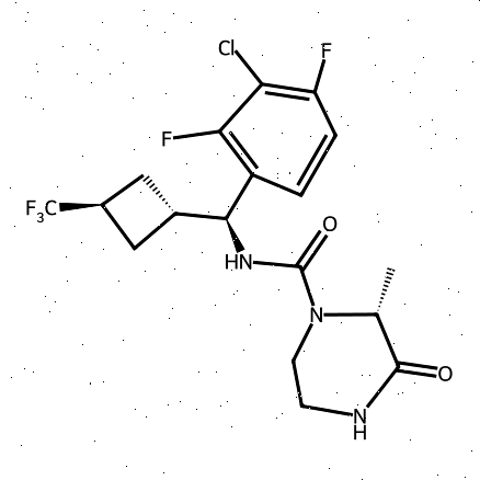 C[C@@H]1C(=O)NCCN1C(=O)N[C@H](c1ccc(F)c(Cl)c1F)[C@H]1C[C@H](C(F)(F)F)C1